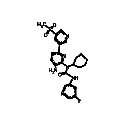 CS(=O)(=O)c1cncc(-c2ccc(N)c(N(C(=O)Nc3cncc(F)c3)C3CCCCC3)n2)c1